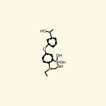 CCN1CNS(O)(O)c2cc(Oc3cccc(C(C)O)c3)ccc21